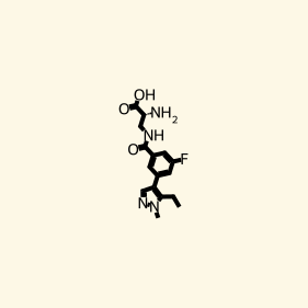 CCc1c(-c2cc(F)cc(C(=O)NC[C@@H](N)C(=O)O)c2)cnn1C